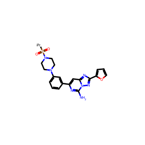 CC(C)S(=O)(=O)N1CCN(c2cccc(-c3cc4nc(-c5ccco5)nn4c(N)n3)c2)CC1